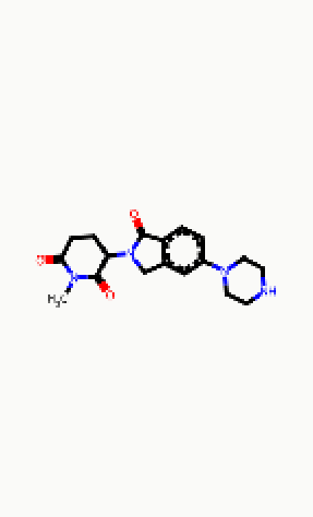 CN1C(=O)CCC(N2Cc3cc(N4CCNCC4)ccc3C2=O)C1=O